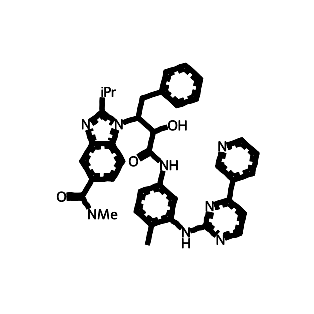 CNC(=O)c1ccc2c(c1)nc(C(C)C)n2C(Cc1ccccc1)C(O)C(=O)Nc1ccc(C)c(Nc2nccc(-c3cccnc3)n2)c1